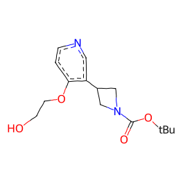 CC(C)(C)OC(=O)N1CC(c2cnccc2OCCO)C1